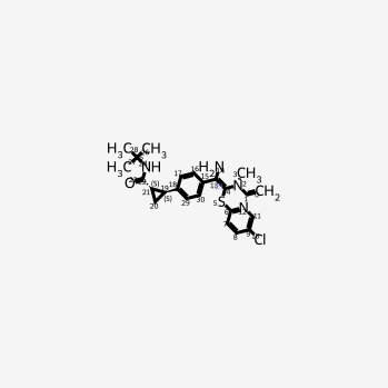 C=CN(C)/C(Sc1ccc(Cl)cn1)=C(\N)c1ccc([C@H]2C[C@@H]2C(=O)NC(C)(C)C)cc1